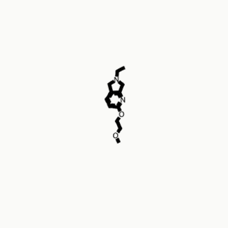 CCN1Cc2ccc(OCCOC)nc2C1